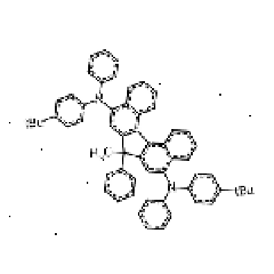 CC(C)(C)c1ccc(N(c2ccccc2)c2cc3c(c4ccccc24)-c2c(cc(N(c4ccccc4)c4ccc(C(C)(C)C)cc4)c4ccccc24)C3(C)c2ccccc2)cc1